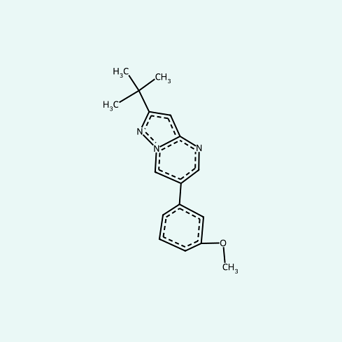 COc1cccc(-c2cnc3cc(C(C)(C)C)nn3c2)c1